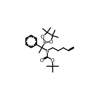 C=CCCCN(C(=O)OC(C)(C)C)C(C)(B1OC(C)(C)C(C)(C)O1)c1ccccc1